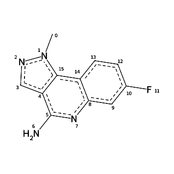 Cn1ncc2c(N)nc3cc(F)ccc3c21